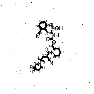 CC(C)(C=C(C#N)C(=O)N1CCCCC1COC(=O)N[C@@H](Cc1ccccc1C#N)B(O)O)N1CCC(F)(F)C1